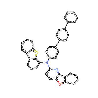 c1ccc(-c2ccc(-c3ccc(N(c4ccc5oc6ccccc6c5n4)c4cccc5c4sc4ccccc45)cc3)cc2)cc1